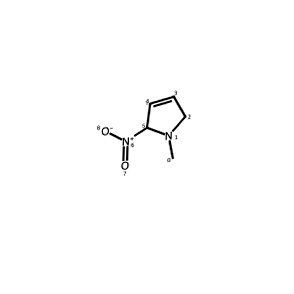 CN1CC=[C]C1[N+](=O)[O-]